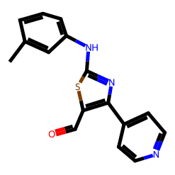 Cc1cccc(Nc2nc(-c3ccncc3)c(C=O)s2)c1